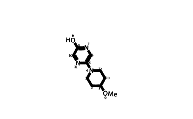 COC1CCN(c2cnc(O)cn2)CC1